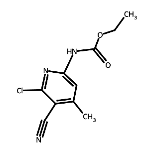 CCOC(=O)Nc1cc(C)c(C#N)c(Cl)n1